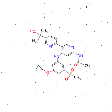 CC(=O)Nc1cc(Nc2cc(OC3CC3)cc(S(C)(=O)=O)c2)c(-c2ccc(C(C)(C)O)cn2)cn1